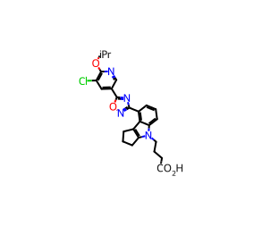 CC(C)Oc1ncc(-c2nc(-c3cccc4c3c3c(n4CCCC(=O)O)CCC3)no2)cc1Cl